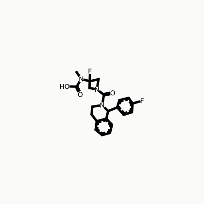 CN(C(=O)O)C1(F)CN(C(=O)N2CCc3ccccc3C2c2ccc(F)cc2)C1